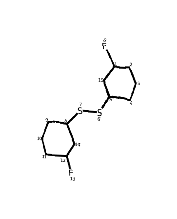 FC1CCCC(SSC2CCCC(F)C2)C1